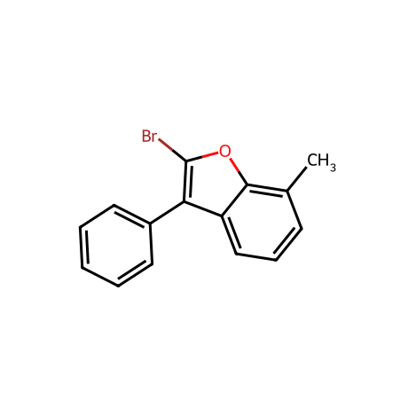 Cc1cccc2c(-c3ccccc3)c(Br)oc12